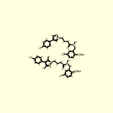 COc1ccc(Cl)cc1CN(C)C(=O)CCCn1cc(-c2ccc(F)cc2)cn1.COc1ccc(F)cc1CN(C)C(=O)CCCn1nc(C)c(-c2ccc(F)cc2)c1C